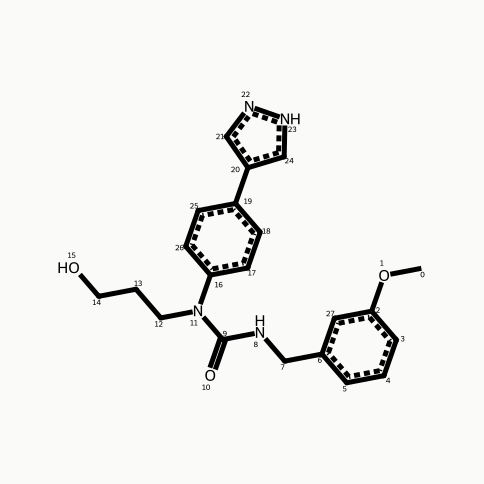 COc1cccc(CNC(=O)N(CCCO)c2ccc(-c3cn[nH]c3)cc2)c1